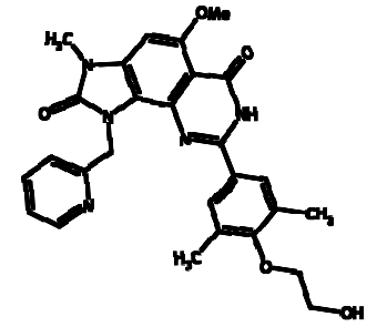 COc1cc2c(c3nc(-c4cc(C)c(OCCO)c(C)c4)[nH]c(=O)c13)n(Cc1ccccn1)c(=O)n2C